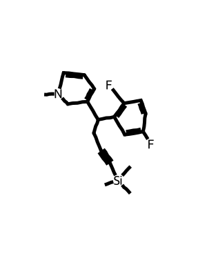 CN1C=CC=C(C(CC#C[Si](C)(C)C)c2cc(F)ccc2F)C1